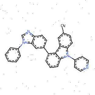 N#Cc1ccc2c(c1)c1c(-c3ccc4ncn(-c5ccccc5)c4c3)cccc1n2-c1ccncc1